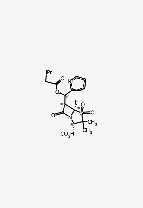 CC(C)CC(=O)O[C@@H](c1ccccn1)[C@@H]1C(=O)N2[C@@H](C(=O)O)C(C)(C)S(=O)(=O)[C@H]12